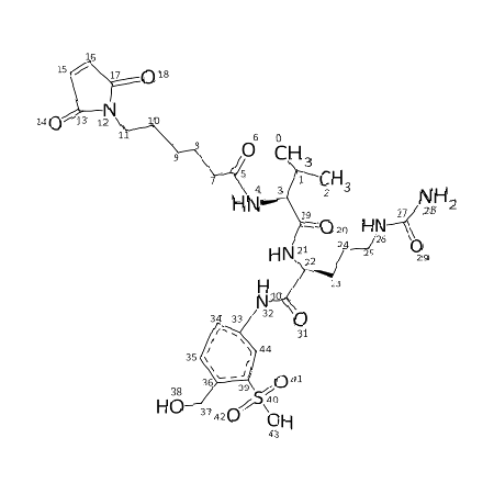 CC(C)[C@H](NC(=O)CCCCCN1C(=O)C=CC1=O)C(=O)N[C@@H](CCCNC(N)=O)C(=O)Nc1ccc(CO)c(S(=O)(=O)O)c1